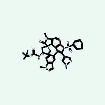 CN1C(=O)[C@]2(CC[C@@H](NC(=O)OC(C)(C)C)C2)c2c1cnc1c2c(-c2ccc3c(cnn3C)c2)c(-c2cnn(C)c2)n1S(=O)(=O)c1ccccc1